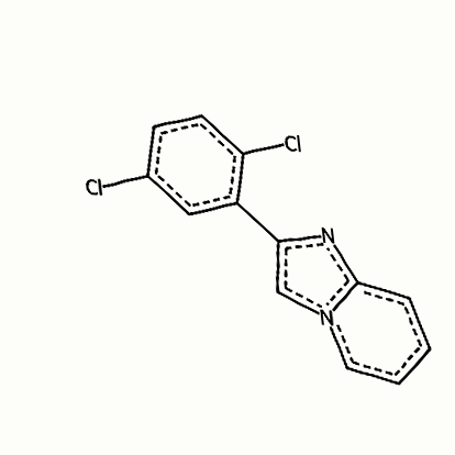 Clc1ccc(Cl)c(-c2cn3ccccc3n2)c1